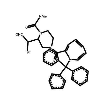 CNC(=O)N1CCN(C(=O)C2=CC=CC=CN2C(c2ccccc2)(c2ccccc2)c2ccccc2)CC1C(C=O)C(C)C